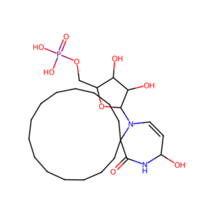 O=C1NC(O)C=CN(C2OC(COP(=O)(O)O)C(O)C2O)C12CCCCCCCCCCCCCC2